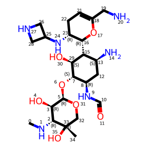 CN[C@@H]1[C@@H](O)[C@@H](O[C@H]2[C@H](NC=O)C[C@H](N)C([C@H]3OC(CN)=CC[C@H]3NC3CNC3)[C@@H]2O)OC[C@]1(C)O